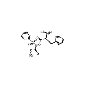 CCN[C@@H](Cc1ccccc1)C(=O)ON(C(=O)OC(C)(C)C)S(=O)(=O)c1ccccc1